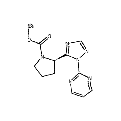 CC(C)(C)OC(=O)N1CCC[C@@H]1c1ncnn1-c1ncccn1